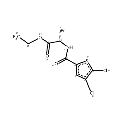 CC(C)[C@H](NC(=O)c1cc(Cl)c(Cl)s1)C(=O)OCC(F)(F)F